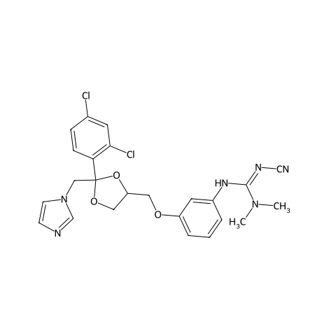 CN(C)C(=NC#N)Nc1cccc(OCC2COC(Cn3ccnc3)(c3ccc(Cl)cc3Cl)O2)c1